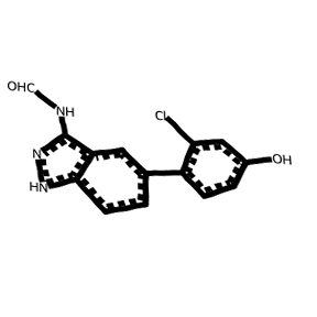 O=CNc1n[nH]c2ccc(-c3ccc(O)cc3Cl)cc12